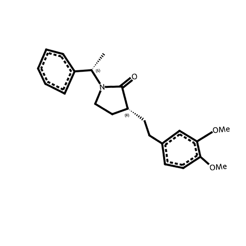 COc1ccc(CC[C@@H]2CCN([C@@H](C)c3ccccc3)C2=O)cc1OC